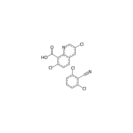 N#Cc1c(Cl)cccc1Cl.O=C(O)c1c(Cl)ccc2cc(Cl)cnc12